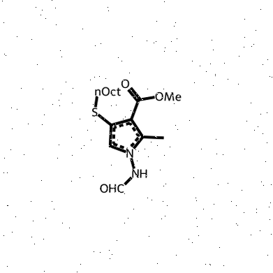 CCCCCCCCSc1cn(NC=O)c(C)c1C(=O)OC